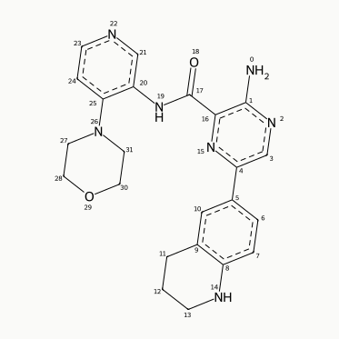 Nc1ncc(-c2ccc3c(c2)CCCN3)nc1C(=O)Nc1cnccc1N1CCOCC1